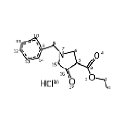 CCOC(=O)C1CN(Cc2ccccc2)CC1=O.Cl